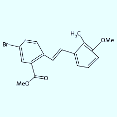 COC(=O)c1cc(Br)ccc1C=Cc1cccc(OC)c1C